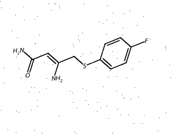 NC(=O)/C=C(\N)CSc1ccc(F)cc1